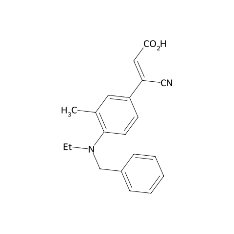 CCN(Cc1ccccc1)c1ccc(C(C#N)=CC(=O)O)cc1C